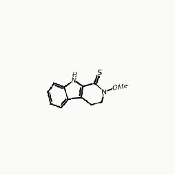 CON1CCc2c([nH]c3ccccc23)C1=S